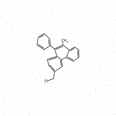 Cc1c(-c2ccccc2)c2ccc(CCl)cc2c2ccccc12